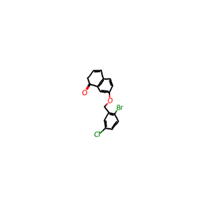 O=C1CC=Cc2ccc(OCc3cc(Cl)ccc3Br)cc21